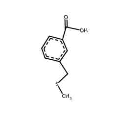 CSCc1cccc(C(=O)O)c1